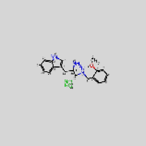 COc1ccccc1CNC[C@H](N)Cc1c[nH]c2ccccc12.Cl.Cl